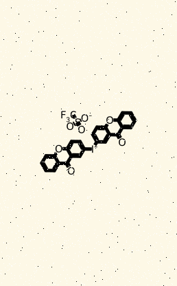 O=S(=O)([O-])C(F)(F)F.O=c1c2ccccc2oc2ccc([I+]c3ccc4oc5ccccc5c(=O)c4c3)cc12